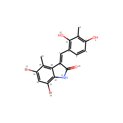 Cc1c(O)ccc(C=C2C(=O)Nc3c(Br)cc(Br)c(C)c32)c1O